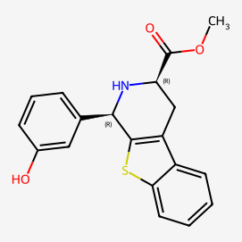 COC(=O)[C@H]1Cc2c(sc3ccccc23)[C@@H](c2cccc(O)c2)N1